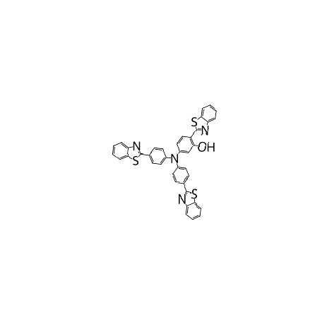 Oc1cc(N(c2ccc(-c3nc4ccccc4s3)cc2)c2ccc(-c3nc4ccccc4s3)cc2)ccc1-c1nc2ccccc2s1